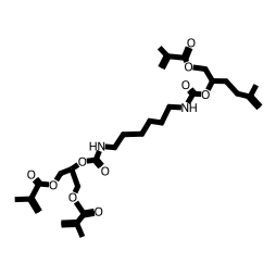 C=C(C)CCC(COC(=O)C(=C)C)OC(=O)NCCCCCCNC(=O)OC(COC(=O)C(=C)C)COC(=O)C(=C)C